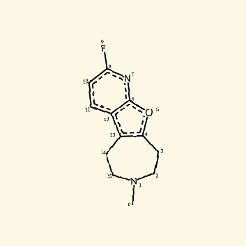 CN1CCc2oc3nc(F)ccc3c2CC1